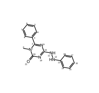 Cn1c(-c2ccccc2)nc(NNc2ccccc2)nc1=O